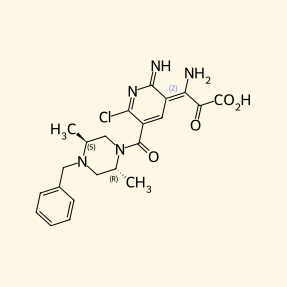 C[C@@H]1CN(Cc2ccccc2)[C@@H](C)CN1C(=O)C1=C/C(=C(/N)C(=O)C(=O)O)C(=N)N=C1Cl